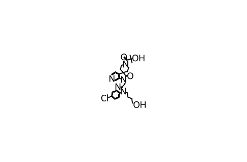 CC(C)(O)C(=O)N1CCC2(CC1)C(=O)N(Cc1nc3cc(Cl)ccc3n1CCCCO)c1cnccc12